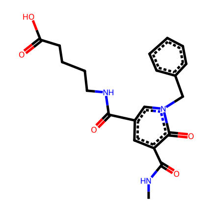 CNC(=O)c1cc(C(=O)NCCCCC(=O)O)cn(Cc2ccccc2)c1=O